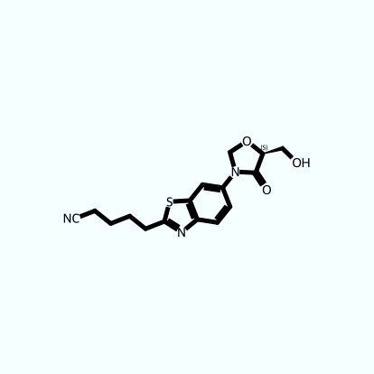 N#CCCCCc1nc2ccc(N3CO[C@@H](CO)C3=O)cc2s1